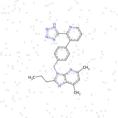 CCCc1nc2c(C)cc(C)nc2n1Cc1ccc(-c2cccnc2-c2nnn[nH]2)cc1